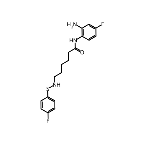 Nc1cc(F)ccc1NC(=O)CCCCCNSc1ccc(F)cc1